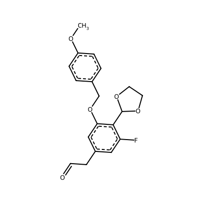 COc1ccc(COc2cc(CC=O)cc(F)c2C2OCCO2)cc1